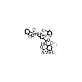 CNC(=O)c1cc(Cl)cc(C)c1NC(=O)c1cc(CNS(=O)(=O)c2ccccc2Cl)nn1-c1ncccc1Cl